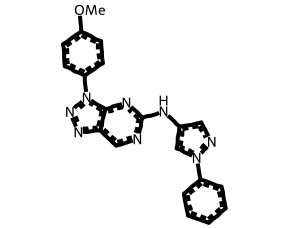 COc1ccc(-n2nnc3cnc(Nc4cnn(-c5ccccc5)c4)nc32)cc1